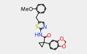 COc1ccccc1Cc1cnc(NC(=O)C2(c3ccc4c(c3)OCO4)CC2)s1